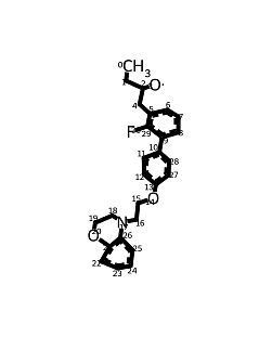 CCC([O])Cc1cccc(-c2ccc(OCCN3CCOc4ccccc43)cc2)c1F